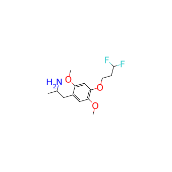 COc1cc(OCCC(F)F)c(OC)cc1CC(C)N